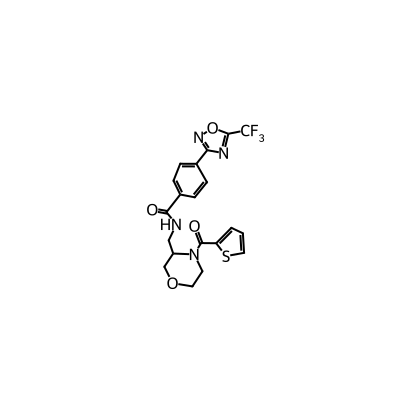 O=C(NCC1COCCN1C(=O)c1cccs1)c1ccc(-c2noc(C(F)(F)F)n2)cc1